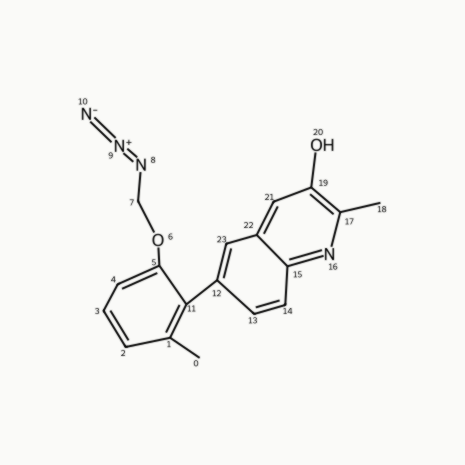 Cc1cccc(OCN=[N+]=[N-])c1-c1ccc2nc(C)c(O)cc2c1